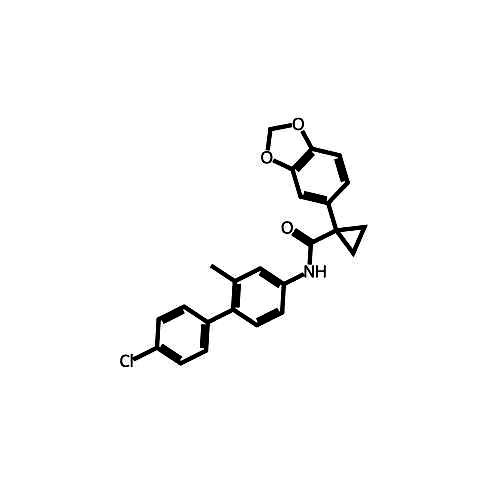 Cc1cc(NC(=O)C2(c3ccc4c(c3)OCO4)CC2)ccc1-c1ccc(Cl)cc1